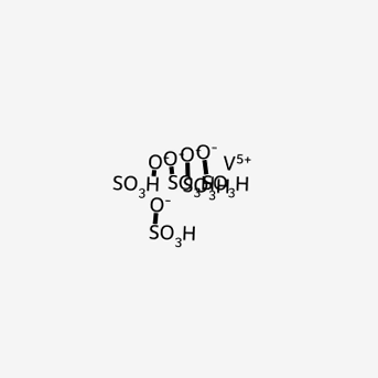 O=S(=O)([O-])O.O=S(=O)([O-])O.O=S(=O)([O-])O.O=S(=O)([O-])O.O=S(=O)([O-])O.[V+5]